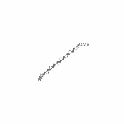 COCCOCCOCCOCCOCCOCCOCCOCCN=[N+]=[N-]